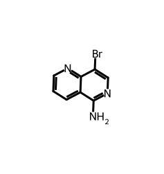 Nc1ncc(Br)c2ncccc12